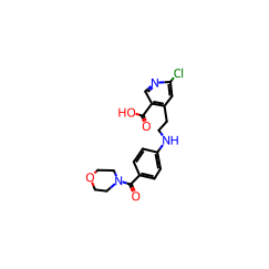 O=C(O)c1cnc(Cl)cc1CCNc1ccc(C(=O)N2CCOCC2)cc1